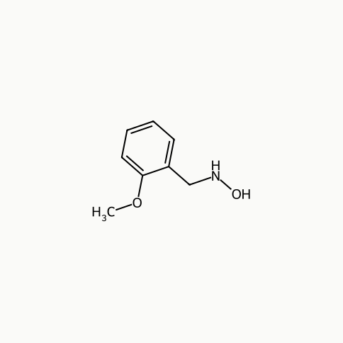 COc1ccccc1CNO